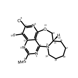 CSc1nc2c3c(nc(Cl)c(F)c3n1)OC[C@@H]1CCCCCN21